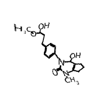 COC(O)CCc1ccc(N2C(=O)N(C)C3=C(CCC3)C2O)cc1